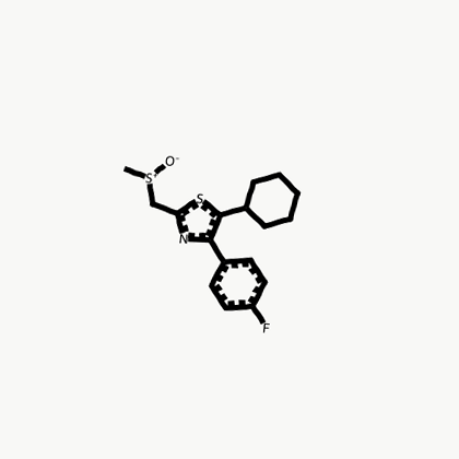 C[S+]([O-])Cc1nc(-c2ccc(F)cc2)c(C2CCCCC2)s1